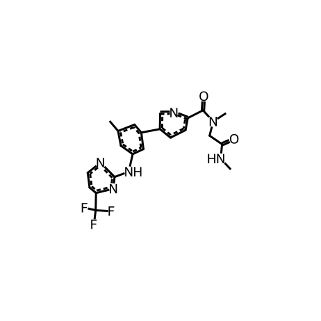 CNC(=O)CN(C)C(=O)c1ccc(-c2cc(C)cc(Nc3nccc(C(F)(F)F)n3)c2)cn1